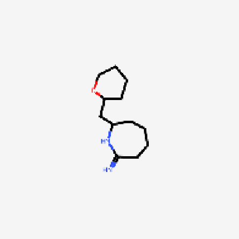 N=C1CCCCC(CC2CCCCO2)N1